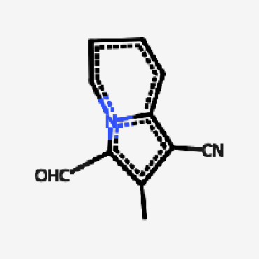 Cc1c(C#N)c2ccccn2c1C=O